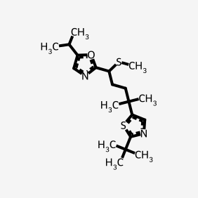 CSC(CCC(C)(C)c1cnc(C(C)(C)C)s1)c1ncc(C(C)C)o1